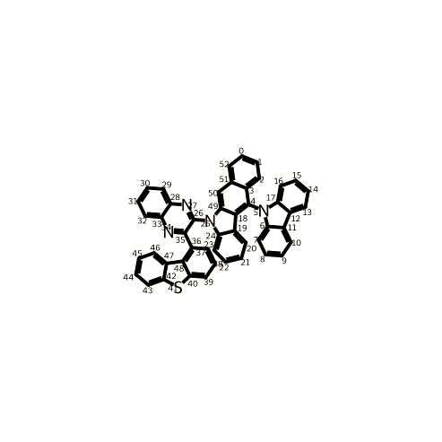 c1ccc2c(-n3c4ccccc4c4ccccc43)c3c4ccccc4n(-c4nc5ccccc5nc4-c4cccc5sc6ccccc6c45)c3cc2c1